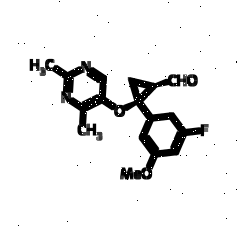 COC1=CC([C@]2(Oc3cnc(C)nc3C)C[C@H]2C=O)CC(F)=C1